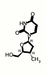 C[C@H]1C[C@H](n2ccc(=O)[nH]c2=O)O[C@@H]1CO